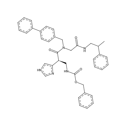 CC(CNC(=O)CN(Cc1ccc(-c2ccccc2)cc1)C(=O)[C@@H](CNC(=O)OCc1ccccc1)c1c[nH]cn1)c1ccccc1